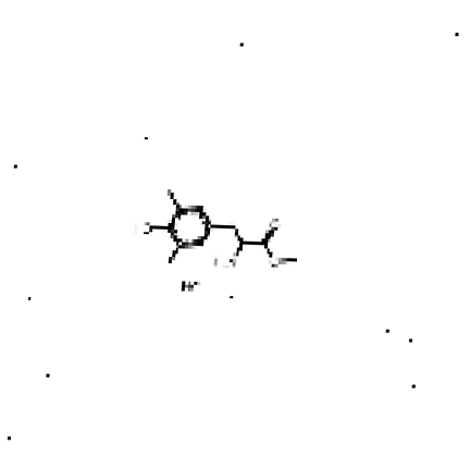 COC(=O)C(N)Cc1cc(C)c(O)c(C)c1.Cl